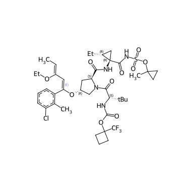 CC=C(/C=C(/O[C@@H]1C[C@@H](C(=O)N[C@]2(C(=O)NS(=O)(=O)OC3(C)CC3)C[C@H]2CC)N(C(=O)[C@@H](NC(=O)OC2(C(F)(F)F)CCC2)C(C)(C)C)C1)c1cccc(Cl)c1C)OCC